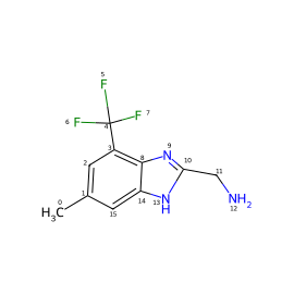 Cc1cc(C(F)(F)F)c2nc(CN)[nH]c2c1